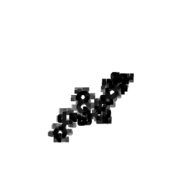 CC(C)(C)C(NC(=O)c1cc2cc(C(F)(F)P(=O)(O)O)ccc2s1)C(=O)N1Cc2ccccc2C[C@H]1C(=O)N1CCOC(c2ccncc2)C1